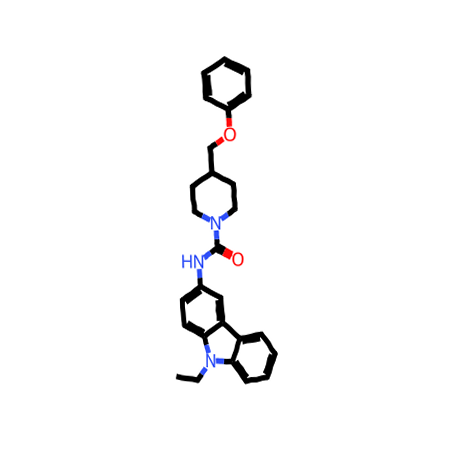 CCn1c2ccccc2c2cc(NC(=O)N3CCC(COc4ccccc4)CC3)ccc21